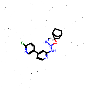 Fc1ccc(-c2ccnc(NN3NC[C@]4(CC5CCC4CC5)O3)c2)cn1